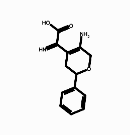 N=C(C(=O)O)C1=C(N)COC(c2ccccc2)C1